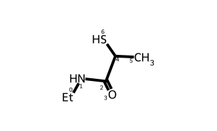 CCNC(=O)C(C)S